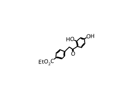 CCOC(=O)c1ccc(CC(=O)c2ccc(O)cc2O)cc1